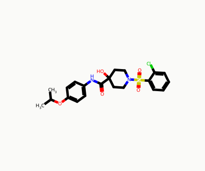 CC(C)Oc1ccc(NC(=O)C2(O)CCN(S(=O)(=O)c3ccccc3Cl)CC2)cc1